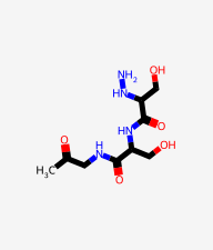 CC(=O)CNC(=O)C(CO)NC(=O)C(CO)NN